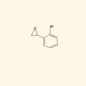 CC(C)c1ccccc1C1CO1